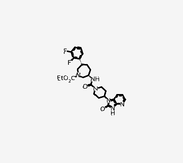 CCOC(=O)N1C[C@H](NC(=O)N2CCC(n3c(=O)[nH]c4ncccc43)CC2)CC[C@@H](c2cccc(F)c2F)C1